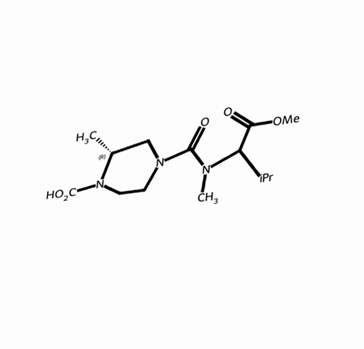 COC(=O)C(C(C)C)N(C)C(=O)N1CCN(C(=O)O)[C@H](C)C1